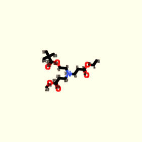 CCOC(=O)CCN(CCOC(=O)C(C)(C)C)CCC(=O)OC